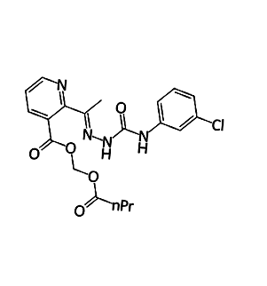 CCCC(=O)OCOC(=O)c1cccnc1C(C)=NNC(=O)Nc1cccc(Cl)c1